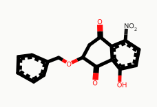 O=C1CC(OCc2ccccc2)C(=O)c2c(O)ccc([N+](=O)[O-])c21